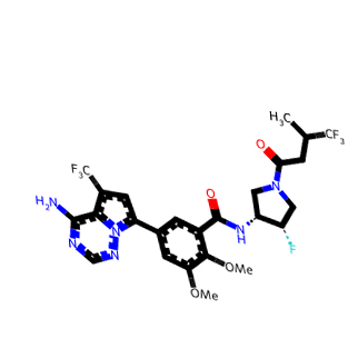 COc1cc(-c2cc(C(F)(F)F)c3c(N)ncnn23)cc(C(=O)N[C@@H]2CN(C(=O)CC(C)C(F)(F)F)C[C@@H]2F)c1OC